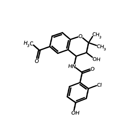 CC(=O)c1ccc2c(c1)C(NC(=O)c1ccc(O)cc1Cl)C(O)C(C)(C)O2